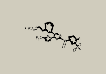 CS(=O)(=O)c1cc(Nc2ncc(-c3cccc(/C=C/C(=O)O)c3)c(-n3ccc(C(F)(F)F)n3)n2)ccc1F